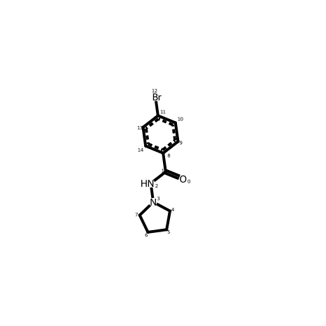 O=C(NN1CCCC1)c1ccc(Br)cc1